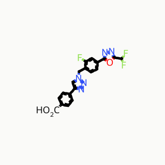 O=C(O)c1ccc(-c2cn(Cc3ccc(-c4nnc(C(F)F)o4)cc3F)nn2)cc1